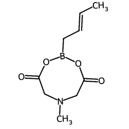 CC=CCB1OC(=O)CN(C)CC(=O)O1